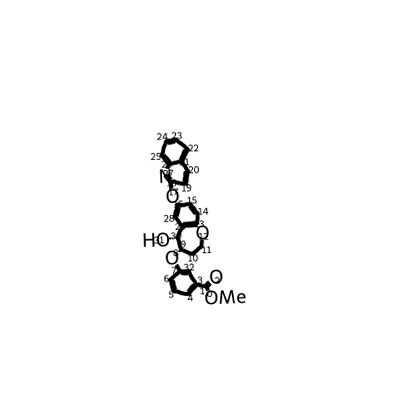 COC(=O)c1cccc(O[C@H]2CCOc3ccc(Oc4ccc5ccccc5n4)cc3[C@H]2O)c1